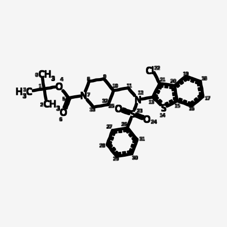 CC(C)(C)OC(=O)N1CCC(CN(c2sc3ccccc3c2Cl)S(=O)(=O)c2ccccc2)CC1